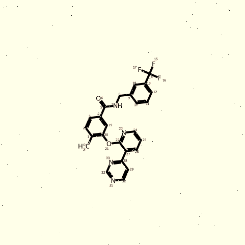 Cc1ccc(C(=O)NCc2cccc(C(F)(F)F)c2)cc1Oc1ncccc1-c1ccncn1